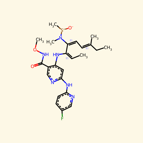 C\C=C(Nc1cc(Nc2ccc(F)cn2)ncc1C(=O)NOC)/C(=C\C=C(/C)CC)N(C)[S+](C)[O-]